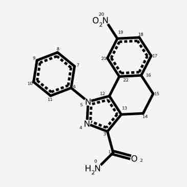 NC(=O)c1nn(-c2ccccc2)c2c1CCc1ccc([N+](=O)[O-])cc1-2